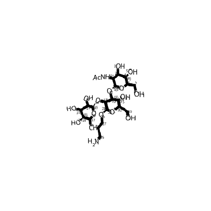 CC(=O)NC1C(O)[C@@H](O)C(CO)O[C@@H]1OC1C(O[C@@H]2OC(C)[C@@H](O)C(O)C2O)[C@H](OCCCN)OC(CO)[C@@H]1O